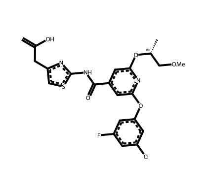 C=C(O)Cc1csc(NC(=O)c2cc(Oc3cc(F)cc(Cl)c3)nc(O[C@H](C)COC)c2)n1